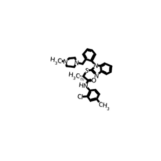 Cc1ccc(NC(=O)[C@H](C)Sc2nc3ccccc3n2-c2ccccc2CN2CCN(C)CC2)c(Cl)c1